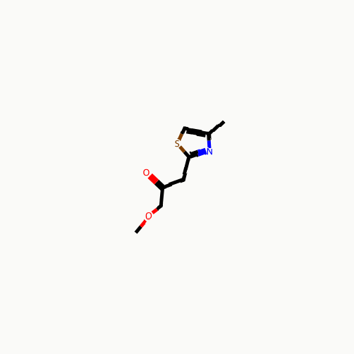 COCC(=O)Cc1nc(C)cs1